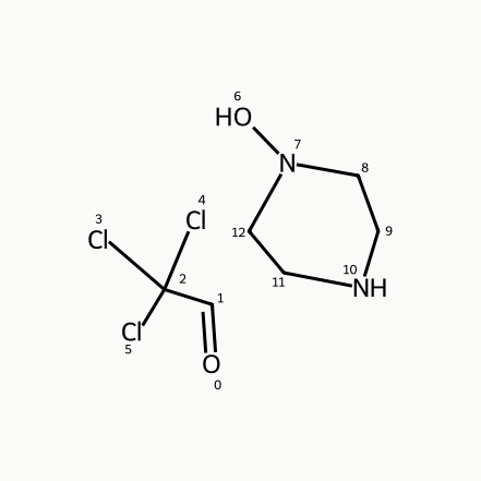 O=CC(Cl)(Cl)Cl.ON1CCNCC1